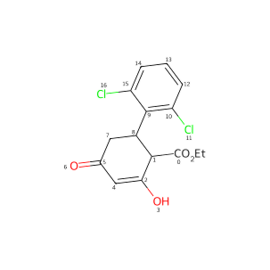 CCOC(=O)C1C(O)=CC(=O)CC1c1c(Cl)cccc1Cl